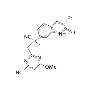 CCc1cc2ccc([C@](C)(C#N)Cc3nc(C#N)cc(OC)n3)cc2[nH]c1=O